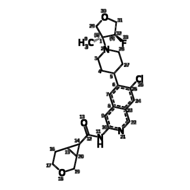 C[C@]1(N2CCC(c3cc4cc(NC(=O)C5C6CCOCC65)ncc4cc3Cl)CC2)COC[C@H]1F